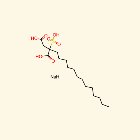 CCCCCCCCCCCCCC(CC(=O)O)(C(=O)O)S(=O)(=O)O.[NaH]